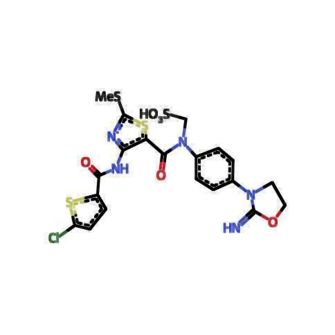 CSc1nc(NC(=O)c2ccc(Cl)s2)c(C(=O)N(CS(=O)(=O)O)c2ccc(N3CCOC3=N)cc2)s1